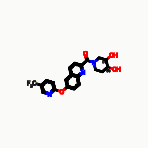 O=C(c1ccc2cc(Oc3ccc(C(F)(F)F)cn3)ccc2n1)N1CC[C@H](O)[C@H](O)C1